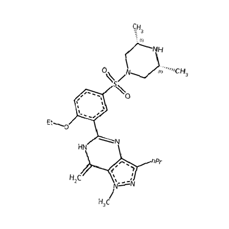 C=C1NC(c2cc(S(=O)(=O)N3C[C@@H](C)N[C@@H](C)C3)ccc2OCC)=Nc2c(CCC)nn(C)c21